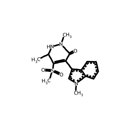 CC1NN(C)C(=O)C(c2cn(C)c3ccccc23)=C1S(C)(=O)=O